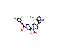 COc1cccc2[nH]cc(C3CCN(C(C(=O)O)C4CCN(C(=O)/C=C/c5cc(F)cc(F)c5)CC4)CC3)c12